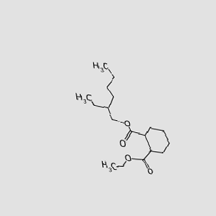 CCCCC(CC)COC(=O)C1CCCCC1C(=O)OCC